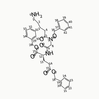 NCCCCC(=O)N(CC(=O)N[C@@H](CCC(=O)OCc1ccccc1)C(=O)OCc1ccccc1)OCc1ccccc1